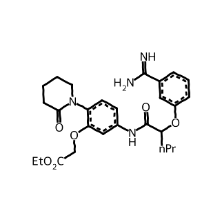 CCCC(Oc1cccc(C(=N)N)c1)C(=O)Nc1ccc(N2CCCCC2=O)c(OCC(=O)OCC)c1